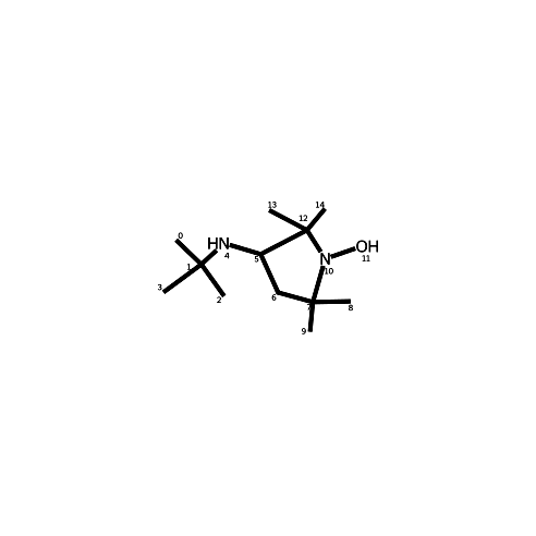 CC(C)(C)NC1CC(C)(C)N(O)C1(C)C